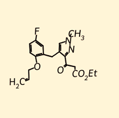 C=CCOc1ccc(F)cc1Cc1cn(C)nc1C(=O)CC(=O)OCC